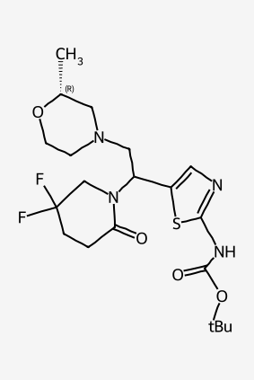 C[C@@H]1CN(CC(c2cnc(NC(=O)OC(C)(C)C)s2)N2CC(F)(F)CCC2=O)CCO1